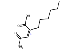 CCCCCC/C(=C/C(N)=O)C(=O)O